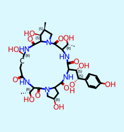 C[C@@H](O)C1NC(=O)CC[C@@H](O)NC(=O)C2[C@@H](O)[C@@H](C)CN2C(=O)C([C@@H](C)O)NC(=O)C([C@H](O)[C@@H](O)c2ccc(O)cc2)NC(=O)C2C[C@@H](O)CN2C1=O